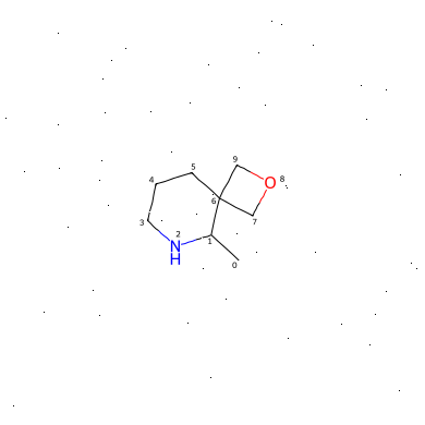 CC1NCCCC12COC2